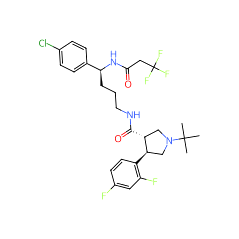 CC(C)(C)N1C[C@@H](C(=O)NCCC[C@H](NC(=O)CC(F)(F)F)c2ccc(Cl)cc2)[C@H](c2ccc(F)cc2F)C1